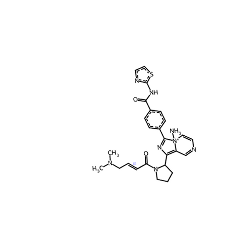 CN(C)C/C=C/C(=O)N1CCCC1C1=C2C=NC=C[N+]2(N)C(c2ccc(C(=O)Nc3nccs3)cc2)=N1